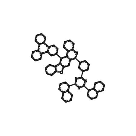 c1cc(-c2nc(-c3cccc4ccccc34)nc(-c3cccc4ccccc34)n2)cc(-c2nc3ccccc3c3c(-c4ccc5c6ccccc6c6ccccc6c5c4)c4c(cc23)oc2ccccc24)c1